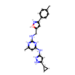 Cc1ccc(-c2cc(CNc3nc(C)cc(Nc4cc(C5CC5)[nH]n4)n3)on2)cc1